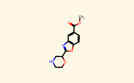 COC(=O)c1ccc2oc(C3CNCCO3)nc2c1